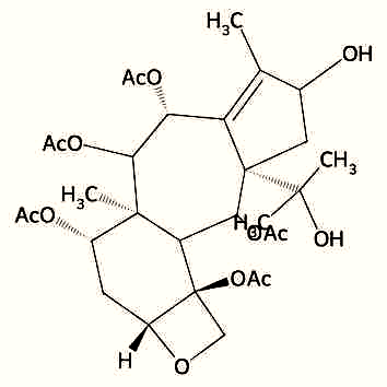 CC(=O)OC1[C@H](OC(C)=O)C2=C(C)C(O)C[C@@]2(C(C)(C)O)C(OC(C)=O)C2[C@@]1(C)[C@@H](OC(C)=O)C[C@H]1OC[C@@]21OC(C)=O